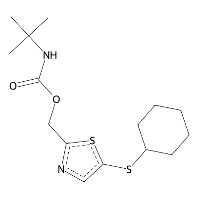 CC(C)(C)NC(=O)OCc1ncc(SC2CCCCC2)s1